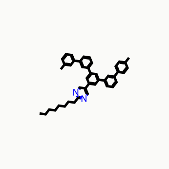 CCCCCCCCc1ncc(-c2cc(-c3cccc(-c4ccc(C)cc4)c3)cc(-c3cccc(-c4cccc(C)c4)c3)c2)cn1